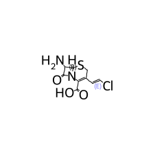 NC1C(=O)N2C(C(=O)O)=C(/C=C/Cl)CS[C@H]12